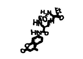 CCC(=O)C(N)CCC[C@H](NC(=O)O)C(=O)Nc1ccc2c(C)cc(=O)oc2c1